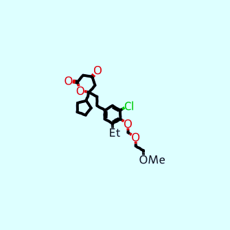 CCc1cc(CCC2(C3CCCC3)CC(=O)CC(=O)O2)cc(Cl)c1OCOCCOC